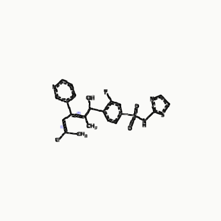 C/C(=C(\C=C(/C)Cl)c1cccnc1)C(O)c1ccc(S(=O)(=O)Nc2nccs2)cc1F